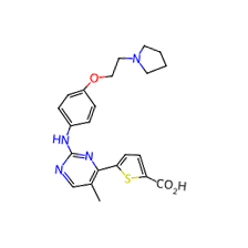 Cc1cnc(Nc2ccc(OCCN3CCCC3)cc2)nc1-c1ccc(C(=O)O)s1